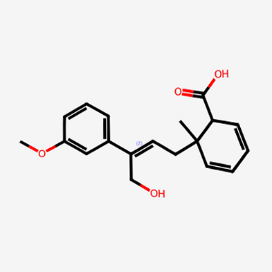 COc1cccc(/C(=C/CC2(C)C=CC=CC2C(=O)O)CO)c1